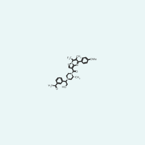 COc1ccc(-c2nc3c(C(=O)N4CCN(C(CO)c5cccc(C(N)=O)c5)C[C@H]4C)cnn3c(C(F)(F)F)c2C)cc1